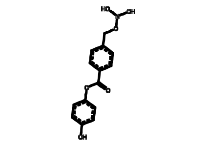 O=C(Oc1ccc(O)cc1)c1ccc(CON(O)O)cc1